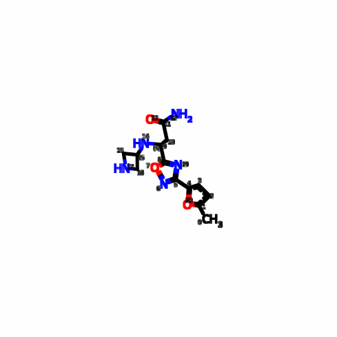 Cc1ccc(-c2noc([C@H](CC(N)=O)NC3CNC3)n2)o1